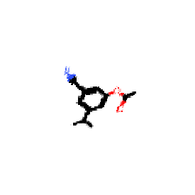 [CH2]C(C)c1cc(C#N)cc(OC(C)=O)c1